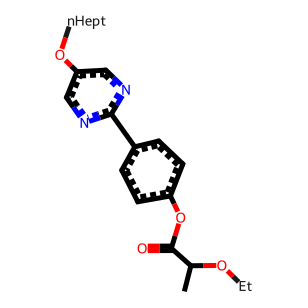 CCCCCCCOc1cnc(-c2ccc(OC(=O)C(C)OCC)cc2)nc1